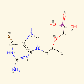 CC(CN1CNc2c1nc(N)[nH]c2=S)OCP(=O)(O)O